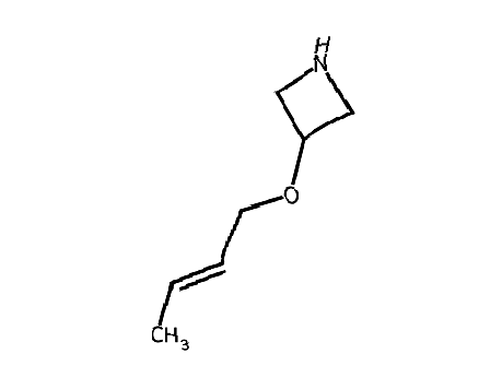 CC=CCOC1CNC1